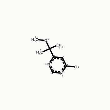 COC(C)(C)c1cc(Cl)ncn1